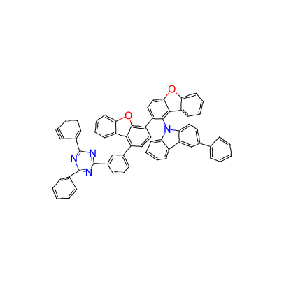 c1cccc(-c2nc(-c3ccccc3)nc(-c3cccc(-c4ccc(-c5ccc6oc7ccccc7c6c5-n5c6ccccc6c6cc(-c7ccccc7)ccc65)c5oc6ccccc6c45)c3)n2)c#1